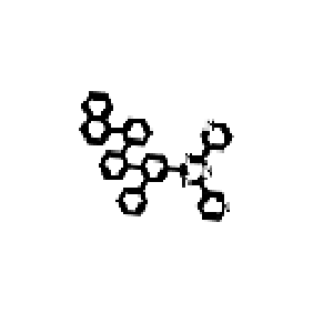 c1ccc(-c2cc(-c3nc(-c4cccnc4)nc(-c4cccnc4)n3)ccc2-c2ccccc2-c2ccccc2-c2cccc3ccccc23)cc1